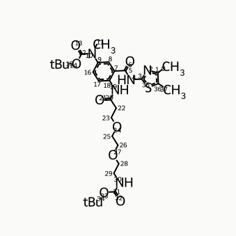 Cc1nc(NC(=O)c2cc(N(C)C(=O)OC(C)(C)C)ccc2NC(=O)CCOCCOCCNC(=O)OC(C)(C)C)sc1C